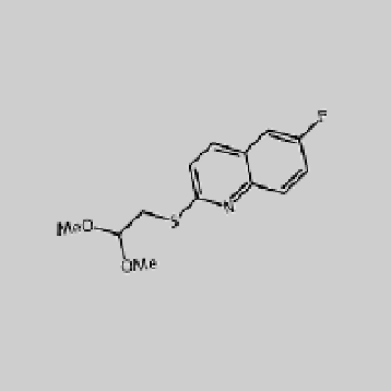 COC(CSc1ccc2cc(F)ccc2n1)OC